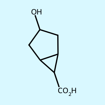 O=C(O)C1C2CC(O)CC21